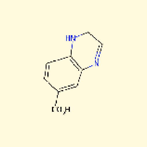 O=C(O)c1ccc2c(c1)N=CCN2